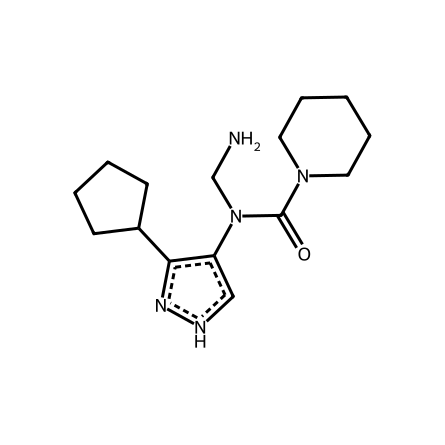 NCN(C(=O)N1CCCCC1)c1c[nH]nc1C1CCCC1